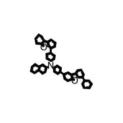 c1ccc(-c2cccc3c2oc2ccc(-c4ccc(N(c5ccc(-c6cccc7c6oc6ccccc67)cc5)c5ccc6ccccc6c5)cc4)cc23)cc1